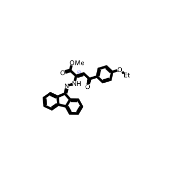 CCOc1ccc(C(=O)/C=C(\NN=C2c3ccccc3-c3ccccc32)C(=O)OC)cc1